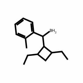 BC(c1ccccc1C)C1C(CC)CC1CC